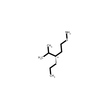 CCC[C@@H](CCSN)C(C)C